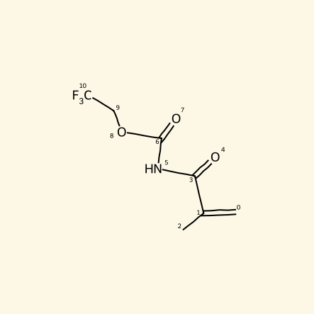 C=C(C)C(=O)NC(=O)OCC(F)(F)F